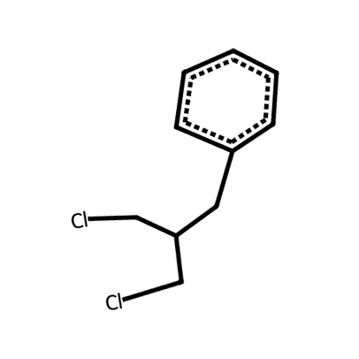 ClCC(CCl)Cc1ccccc1